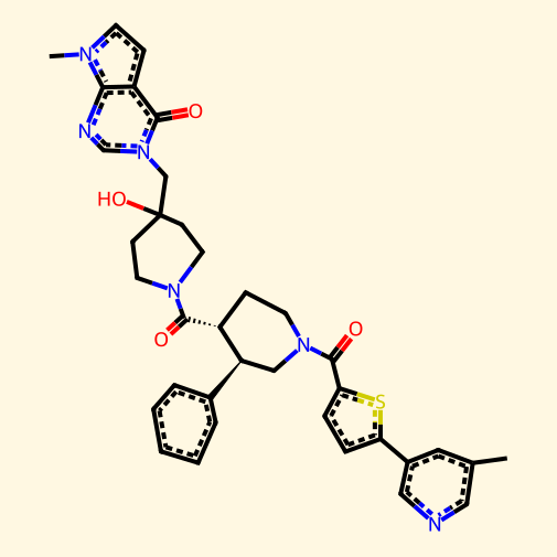 Cc1cncc(-c2ccc(C(=O)N3CC[C@@H](C(=O)N4CCC(O)(Cn5cnc6c(ccn6C)c5=O)CC4)[C@H](c4ccccc4)C3)s2)c1